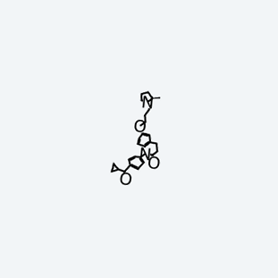 C[C@@H]1CCCN1CCCOc1ccc2c(c1)CCC(=O)N2c1ccc(C(=O)C2CC2)cc1